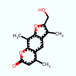 Cc1cc(=O)oc2c(C)c3oc(CO)c(C)c3cc12